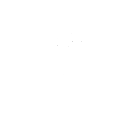 O=C(Cc1ccccc1)OCC=C1O[C@@H]2CC(=O)N2[C@H]1OC(=O)c1cccc(Cl)c1